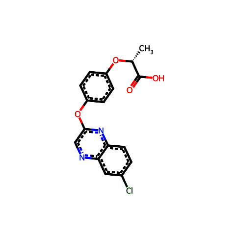 C[C@@H](Oc1ccc(Oc2cnc3cc(Cl)ccc3n2)cc1)C(=O)O